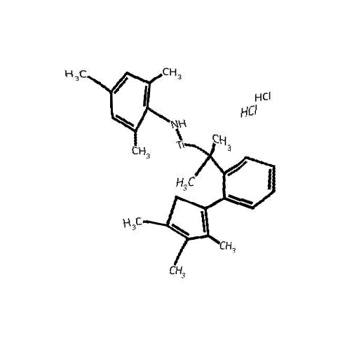 CC1=C(C)C(C)=C(c2ccccc2[C](C)(C)[Ti][NH]c2c(C)cc(C)cc2C)C1.Cl.Cl